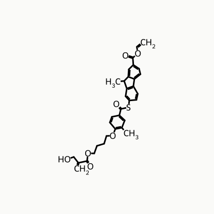 C=COC(=O)c1ccc2c(c1)C(C)c1cc(SC(=O)c3ccc(OCCCCOC(=O)C(=C)CO)c(C)c3)ccc1-2